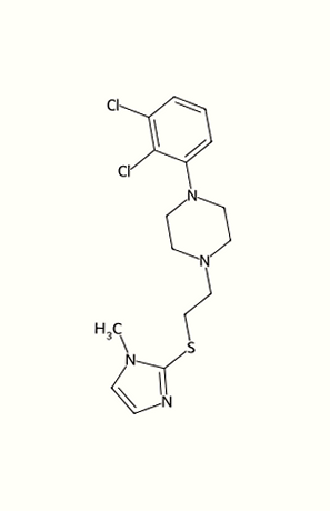 Cn1ccnc1SCCN1CCN(c2cccc(Cl)c2Cl)CC1